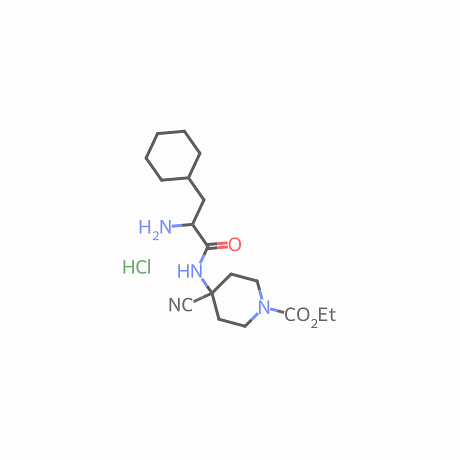 CCOC(=O)N1CCC(C#N)(NC(=O)C(N)CC2CCCCC2)CC1.Cl